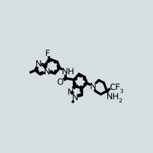 Cc1cn2cc(NC(=O)c3ccc(N4CCC(N)(C(F)(F)F)CC4)c4cn(C)nc34)cc(F)c2n1